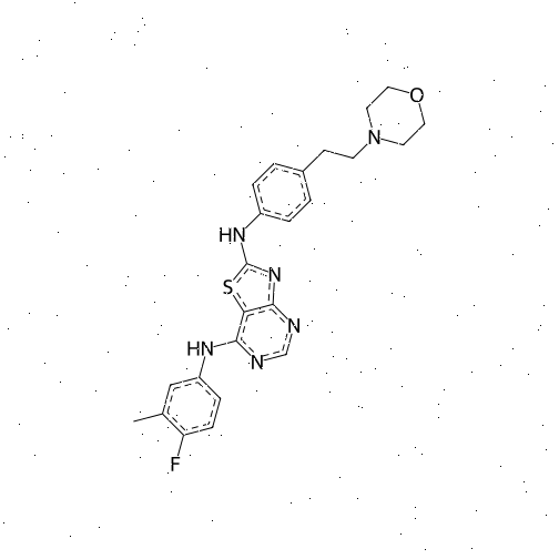 Cc1cc(Nc2ncnc3nc(Nc4ccc(CCN5CCOCC5)cc4)sc23)ccc1F